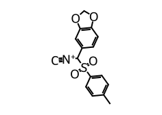 [C-]#[N+]C(c1ccc2c(c1)OCO2)S(=O)(=O)c1ccc(C)cc1